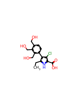 CCc1[nH]c(C(=O)O)c(Cl)c1-c1ccc(CO)c(CO)c1CO